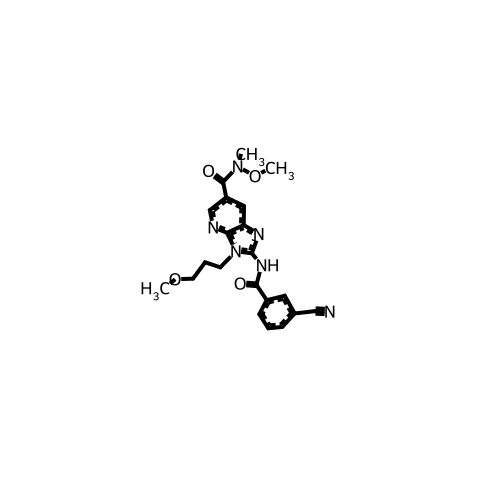 COCCCn1c(NC(=O)c2cccc(C#N)c2)nc2cc(C(=O)N(C)OC)cnc21